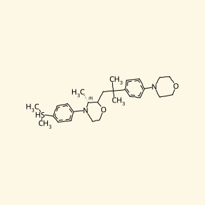 C[C@@H]1C(CC(C)(C)c2ccc(N3CCOCC3)cc2)OCCN1c1ccc([SH](C)C)cc1